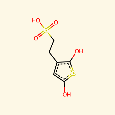 O=S(=O)(O)CCc1cc(O)sc1O